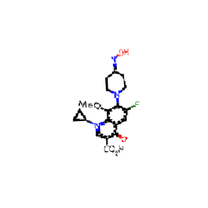 COc1c(N2CCC(=NO)CC2)c(F)cc2c(=O)c(C(=O)O)cn(C3CC3)c12